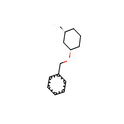 C[C@H]1CCC[C@@H](OCc2ccccc2)C1